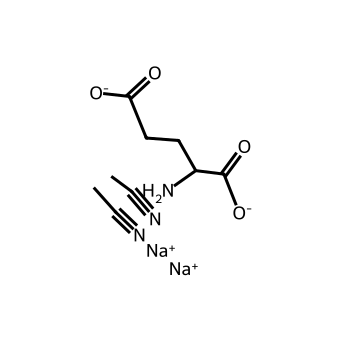 CC#N.CC#N.NC(CCC(=O)[O-])C(=O)[O-].[Na+].[Na+]